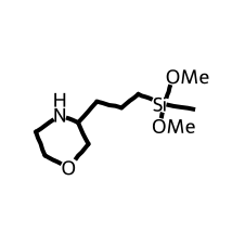 CO[Si](C)(CCCC1COCCN1)OC